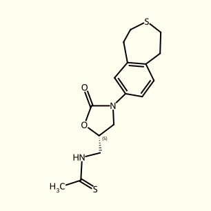 CC(=S)NC[C@H]1CN(c2ccc3c(c2)CCSCC3)C(=O)O1